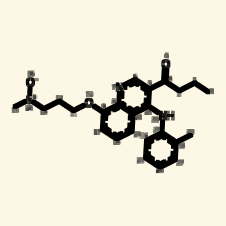 CCCC(=O)c1cnc2c(OCCC[S+](C)[O-])cccc2c1Nc1ccccc1C